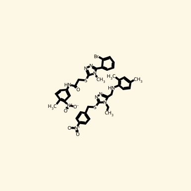 CCn1c(CNc2ccc(C)cc2C)nnc1SCc1ccc([N+](=O)[O-])cc1.Cc1ccc(NC(=O)CSc2nnc(-c3ccccc3Br)n2C)cc1[N+](=O)[O-]